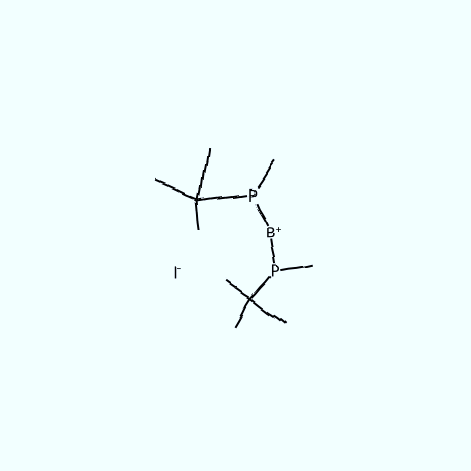 CP([B+]P(C)C(C)(C)C)C(C)(C)C.[I-]